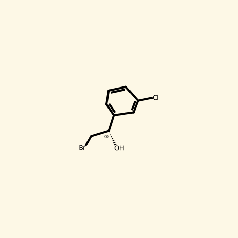 O[C@H](CBr)c1cccc(Cl)c1